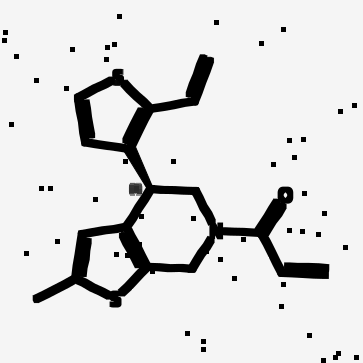 C=CC(=O)N1Cc2sc(C)cc2[C@@H](c2ccsc2C=C)C1